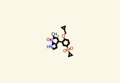 Cc1cc(-c2cc(S(=O)(=O)C3CC3)ccc2OCC2CC2)c2cc[nH]c2[n+]1[O-]